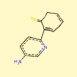 Nc1ccc(C2=CC=CCC2=S)nc1